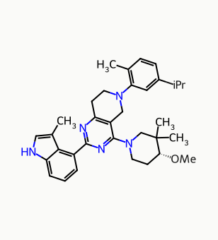 CO[C@@H]1CCN(c2nc(-c3cccc4[nH]cc(C)c34)nc3c2CN(c2cc(C(C)C)ccc2C)CC3)CC1(C)C